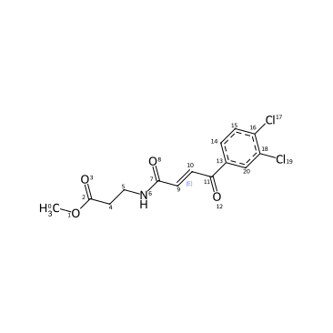 COC(=O)CCNC(=O)/C=C/C(=O)c1ccc(Cl)c(Cl)c1